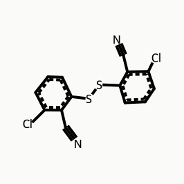 N#Cc1c(Cl)cccc1SSc1cccc(Cl)c1C#N